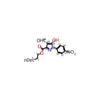 CCCCCCCCCCCCOC(=O)c1nn(-c2ccc([N+](=O)[O-])cc2)c(O)c1C=O